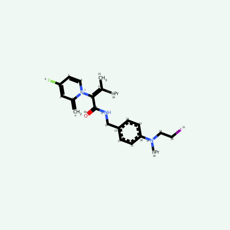 C=C1C=C(F)C=CN1/C(C(=O)NCc1ccc(N(CCC)CCI)cc1)=C(\C)CCC